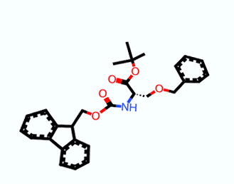 CC(C)(C)OC(=O)[C@H](COCc1ccccc1)NC(=O)OCC1c2ccccc2-c2ccccc21